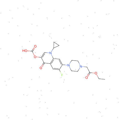 CCOC(=O)CN1CCN(c2cc3c(cc2F)c(=O)c(OC(=O)O)cn3C2CC2)CC1